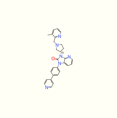 Cc1cccnc1CN1CC[C@H](n2c(=O)n(-c3ccc(-c4ccncc4)cc3)c3cccnc32)C1